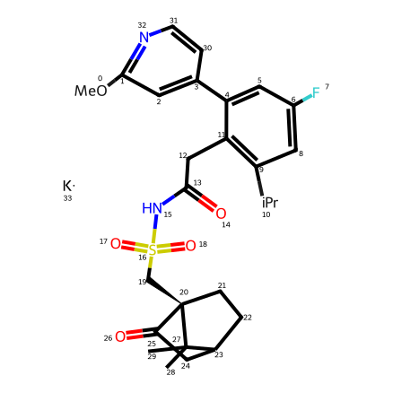 COc1cc(-c2cc(F)cc(C(C)C)c2CC(=O)NS(=O)(=O)C[C@]23CCC(CC2=O)C3(C)C)ccn1.[K]